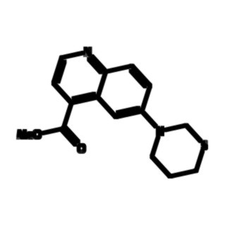 COC(=O)c1ccnc2ccc(N3CCCSC3)cc12